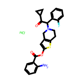 Cl.Nc1ccccc1C(=O)Oc1cc2c(s1)CCN(C(C(=O)C1CC1)c1ccccc1F)C2